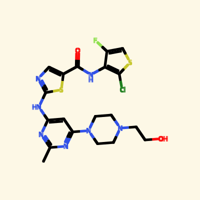 Cc1nc(Nc2ncc(C(=O)Nc3c(F)csc3Cl)s2)cc(N2CCN(CCO)CC2)n1